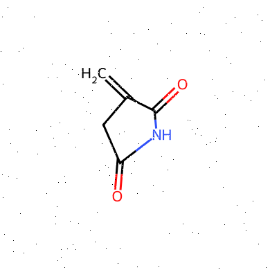 C=C1CC(=O)NC1=O